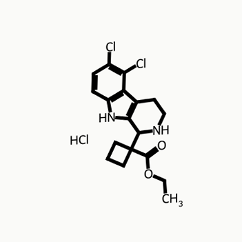 CCOC(=O)C1(C2NCCc3c2[nH]c2ccc(Cl)c(Cl)c32)CCC1.Cl